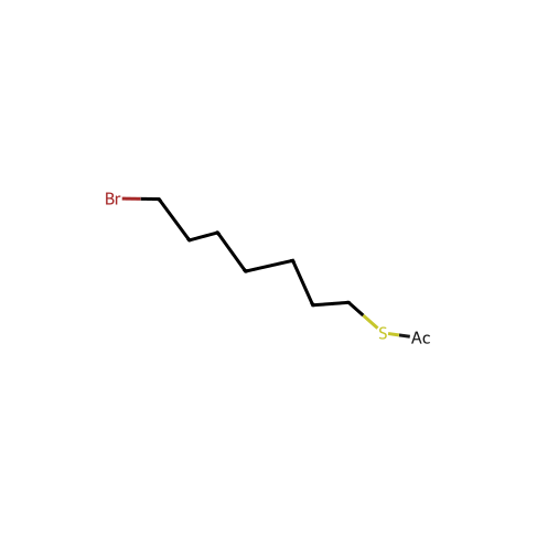 CC(=O)SCCCCCCCBr